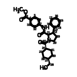 COC(=O)c1ccc(NC(=O)C2C(c3ccccc3)CCN2C(=O)[C@H]2CC[C@H](CO)CC2)cc1